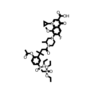 CCOP(=O)(CP(=O)(OCC)c1ccc(OC(C)=O)c(C(C)(C)CC(=O)N2CCN(c3c(F)cc4c(=O)c(C(=O)O)cn(C5CC5)c4c3OC)CC2C)c1)OCC